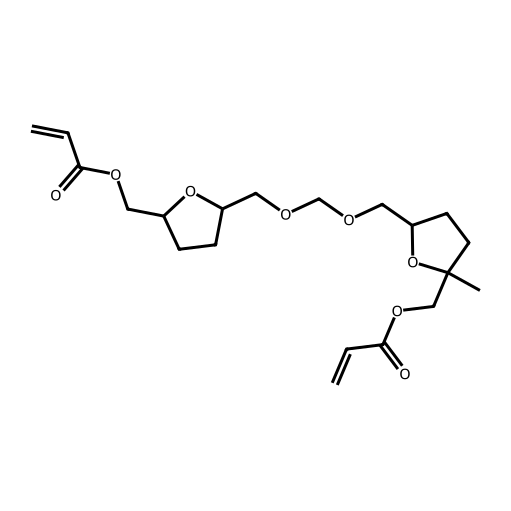 C=CC(=O)OCC1CCC(COCOCC2CCC(C)(COC(=O)C=C)O2)O1